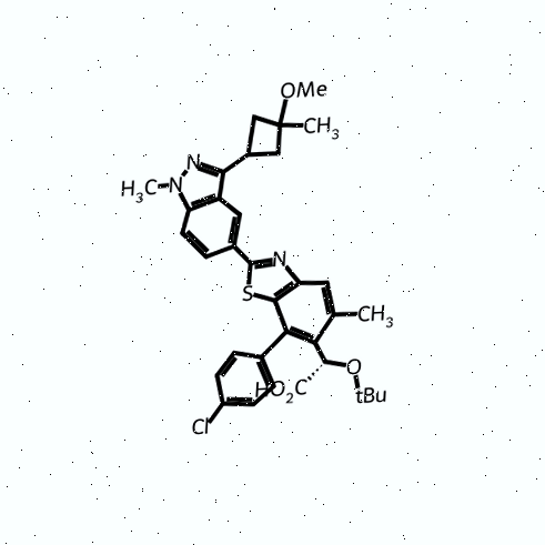 COC1(C)CC(c2nn(C)c3ccc(-c4nc5cc(C)c([C@H](OC(C)(C)C)C(=O)O)c(-c6ccc(Cl)cc6)c5s4)cc23)C1